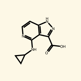 O=C(O)c1n[nH]c2ccnc(NC3CC3)c12